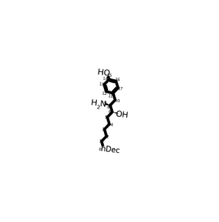 CCCCCCCCCCCCCCC[C@@H](O)[C@@H](N)Cc1ccc(O)cc1